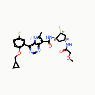 COCC(=O)N[C@H]1C[C@@H](F)[C@H](NC(=O)c2c(C)[nH]c3c(-c4cc(F)ccc4OCC4CC4)ncnc23)C1